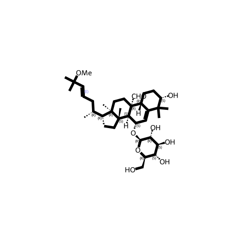 COC(C)(C)/C=C/C[C@@H](C)[C@H]1CC[C@@]2(C)[C@@H]3[C@@H](O[C@@H]4O[C@H](CO)[C@@H](O)[C@H](O)[C@H]4O)C=C4[C@@H](CC[C@H](O)C4(C)C)[C@]3(C=O)CC[C@]12C